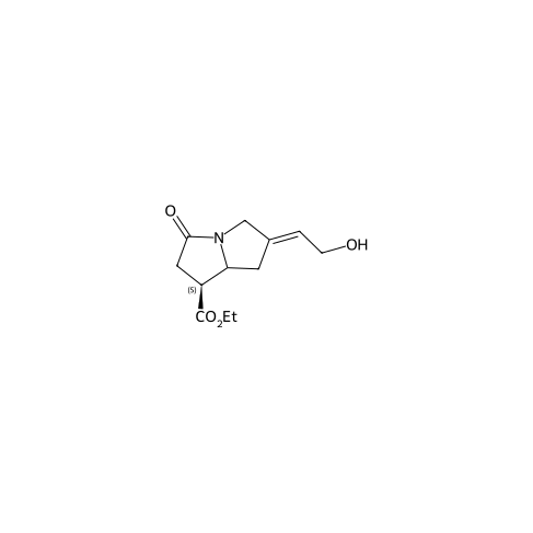 CCOC(=O)[C@H]1CC(=O)N2CC(=CCO)CC12